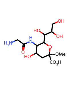 COC1(C(=O)O)CC(O)C(NC(=O)CN)C(C(O)C(O)CO)O1